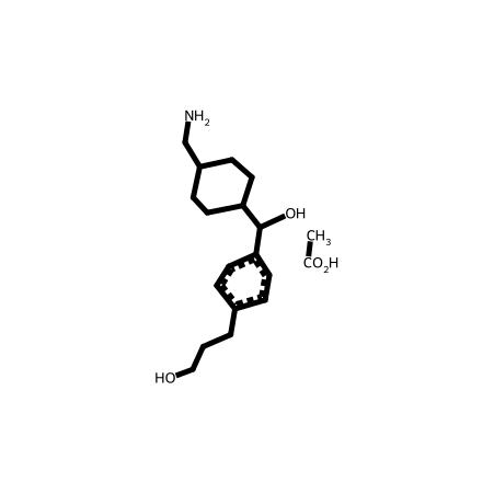 CC(=O)O.NCC1CCC(C(O)c2ccc(CCCO)cc2)CC1